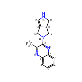 FC(F)(F)c1nc2ccccc2nc1N1CC2=CNCC2C1